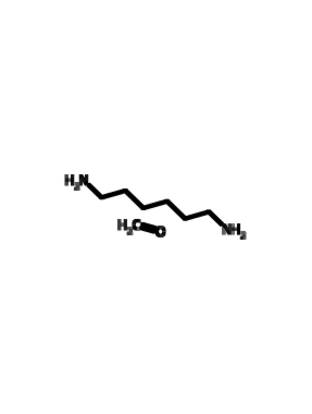 C=O.NCCCCCCN